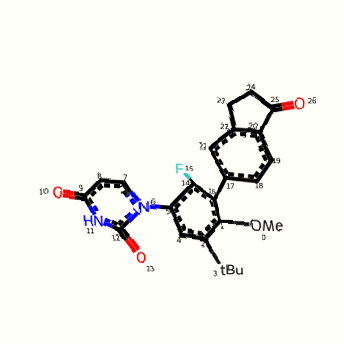 COc1c(C(C)(C)C)cc(-n2ccc(=O)[nH]c2=O)c(F)c1-c1ccc2c(c1)CCC2=O